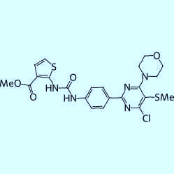 COC(=O)c1ccsc1NC(=O)Nc1ccc(-c2nc(Cl)c(SC)c(N3CCOCC3)n2)cc1